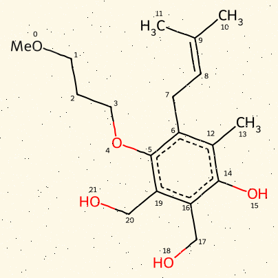 COCCCOc1c(CC=C(C)C)c(C)c(O)c(CO)c1CO